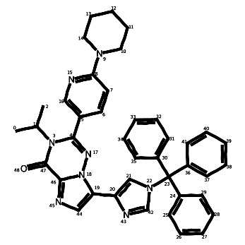 CC(C)n1c(-c2ccc(N3CCCCC3)nc2)nn2c(-c3cn(C(c4ccccc4)(c4ccccc4)c4ccccc4)cn3)cnc2c1=O